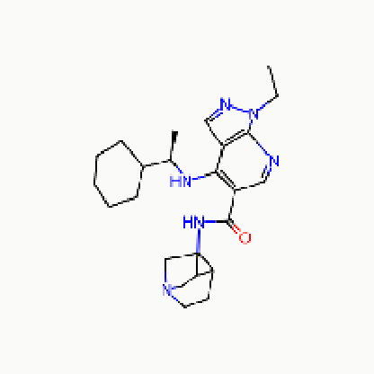 CCn1ncc2c(N[C@H](C)C3CCCCC3)c(C(=O)NC3CN4CCC3CC4)cnc21